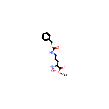 CC(C)(C)OC(=O)[C@H](CCCNC(=O)OCc1ccccc1)NO